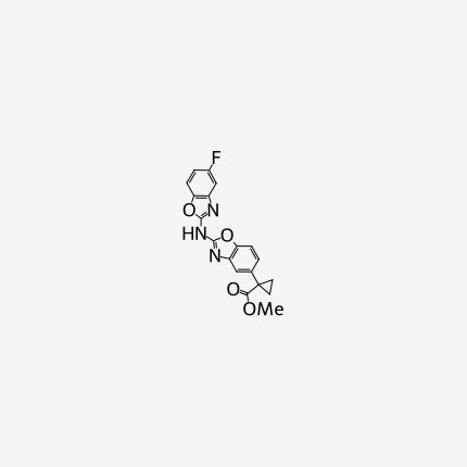 COC(=O)C1(c2ccc3oc(Nc4nc5cc(F)ccc5o4)nc3c2)CC1